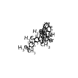 COc1cc(N2CCC(N(C)C)CC2)c(C)cc1Nc1ncc(Br)c(Nc2ccc3nccnc3c2NS(C)(=O)=O)n1